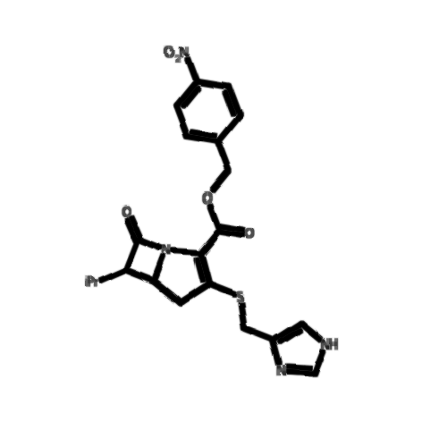 CC(C)C1C(=O)N2C(C(=O)OCc3ccc([N+](=O)[O-])cc3)=C(SCc3c[nH]cn3)CC12